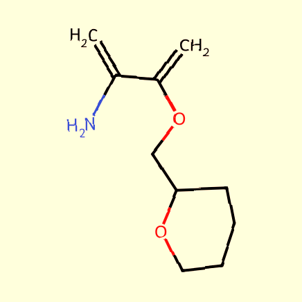 C=C(N)C(=C)OCC1CCCCO1